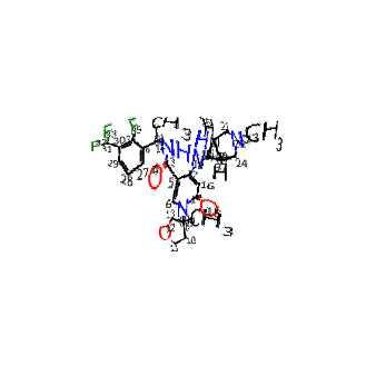 C[C@@H](NC(=O)c1cn([C@]2(C)CCOC2)c(=O)cc1N[C@H]1[C@@H]2CN(C)C[C@@H]21)c1cccc(C(F)F)c1F